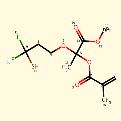 C=C(C(=O)OC(OCCC(F)(F)S)(C(=O)OCCC)C(F)(F)F)C(F)(F)F